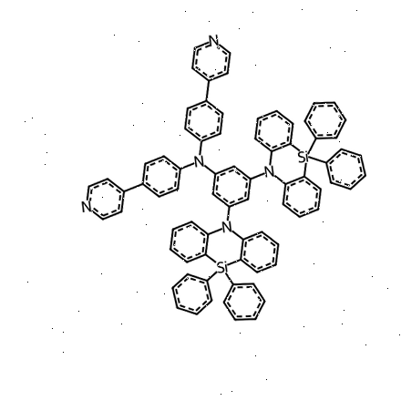 c1ccc([Si]2(c3ccccc3)c3ccccc3N(c3cc(N(c4ccc(-c5ccncc5)cc4)c4ccc(-c5ccncc5)cc4)cc(N4c5ccccc5[Si](c5ccccc5)(c5ccccc5)c5ccccc54)c3)c3ccccc32)cc1